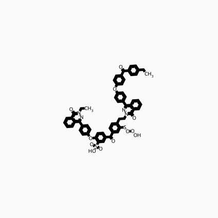 CCc1ccc(C(=O)c2ccc(Oc3ccc(-c4nn(CCc5ccc(C(=O)c6ccc(Oc7ccc(-c8nn(CC)c(=O)c9ccccc89)cc7)c(S(=O)(=O)O)c6)cc5SOOO)c(=O)c5ccccc45)cc3)cc2)cc1